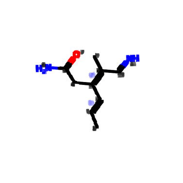 C/C=C/C(CC(N)=O)=C(/C)C=N